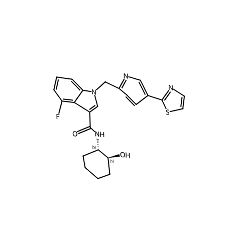 O=C(N[C@H]1CCCC[C@@H]1O)c1cn(Cc2ccc(-c3nccs3)cn2)c2cccc(F)c12